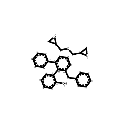 C(OCC1CO1)C1CO1.Oc1ccccc1-c1c(Cc2ccccc2)cccc1-c1ccccc1